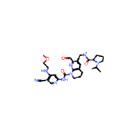 COCCNc1cc(NC(=O)N2CCCc3cc(CN(C)C(=O)[C@H]4CCCN4C(C)C)c(C=O)nc32)ncc1C#N